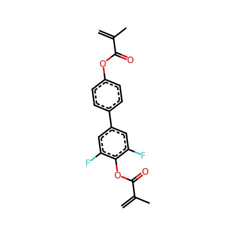 C=C(C)C(=O)Oc1ccc(-c2cc(F)c(OC(=O)C(=C)C)c(F)c2)cc1